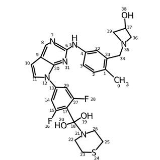 Cc1ccc(Nc2ncc3ccn(-c4cc(F)c(C(O)(O)N5CCSCC5)c(F)c4)c3n2)cc1CN1CC(O)C1